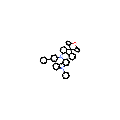 c1ccc(-c2ccc(N(c3cccc4c3-c3ccccc3C43c4ccccc4Oc4ccccc43)c3cccc4c3c3ccccc3n4-c3ccccc3)cc2)cc1